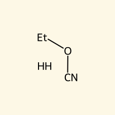 CCOC#N.[HH]